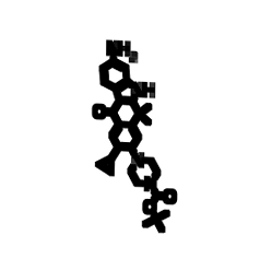 CC(C)(C)OC(=O)N1CCN(c2cc3c(cc2C2CC2)C(=O)c2c([nH]c4cc(N)ccc24)C3(C)C)CC1